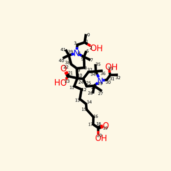 CC(O)CN1C(C)(C)CC(C(CCCCCCCC(=O)O)(C(=O)O)C2CC(C)(C)N(CC(C)O)C(C)(C)C2)CC1(C)C